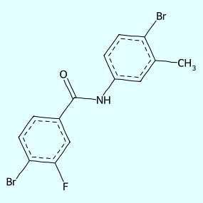 Cc1cc(NC(=O)c2ccc(Br)c(F)c2)ccc1Br